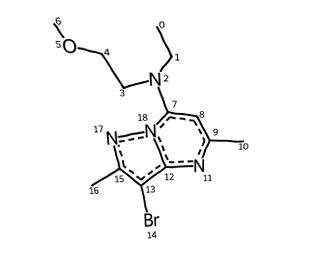 CCN(CCOC)c1cc(C)nc2c(Br)c(C)nn12